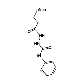 CCCCCCCCCCCC(=O)NNC(=O)Nc1ccccc1